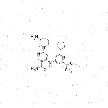 CC(C)c1cc(Nc2nc(N3CCCC(N)C3)ncc2C(N)=O)cc(C2CCCC2)n1